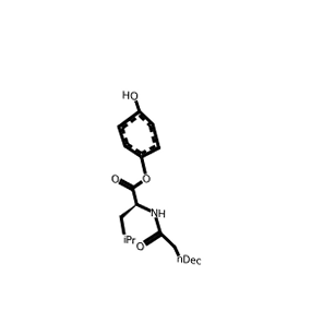 CCCCCCCCCCCC(=O)N[C@@H](CC(C)C)C(=O)Oc1ccc(O)cc1